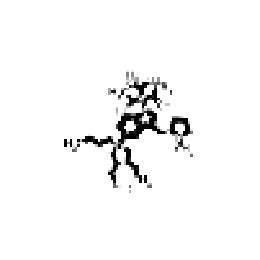 CCC[CH2][Sn]([CH2]CCC)([CH2]CCC)[c]1ccc2c(c1)c(C[C@H]1CCCN1C)cn2[Si](C(C)C)(C(C)C)C(C)C